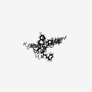 CC(C)CC(NC(=O)C(N)CCc1ccccc1)C(=O)NC(Cc1ccccc1)C(=O)NC(CC(C)C)C(=O)C1(C)CO1.O=C(O)C(F)(F)F